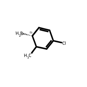 B[C@@H]1C=CC(Cl)=CC1C